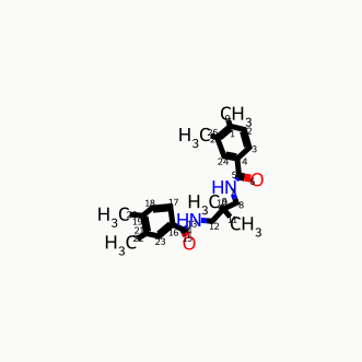 Cc1ccc(C(=O)NCC(C)(C)CNC(=O)c2ccc(C)c(C)c2)cc1C